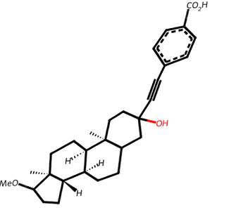 COC1CC[C@H]2[C@@H]3CCC4CC(O)(C#Cc5ccc(C(=O)O)cc5)CC[C@]4(C)[C@@H]3CC[C@]12C